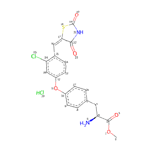 COC(=O)[C@@H](N)Cc1ccc(Oc2ccc(/C=C3/SC(=O)NC3=O)c(Cl)c2)cc1.Cl